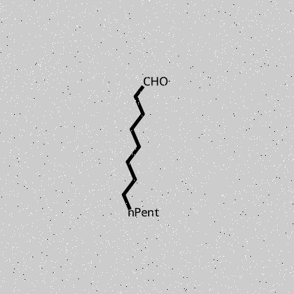 CCCCCCCCCCCC[C]=O